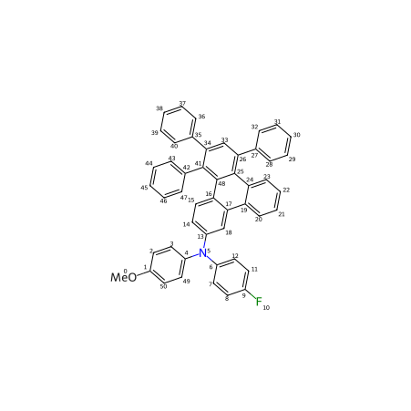 COc1ccc(N(c2ccc(F)cc2)c2ccc3c(c2)c2ccccc2c2c(-c4ccccc4)cc(-c4ccccc4)c(-c4ccccc4)c32)cc1